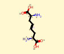 N[C@@H](C/C=C/C[C@H](N)C(=O)O)C(=O)O